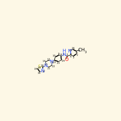 Cc1ccc(C(=O)Nc2ccc(N3CCN(c4nccs4)CC3)cc2)nc1